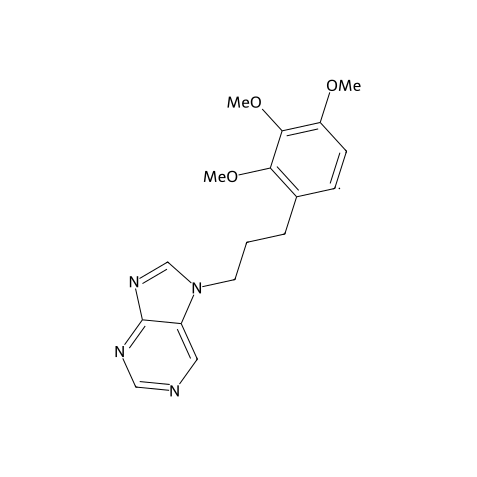 COc1c[c]c(CCCn2cnc3ncncc32)c(OC)c1OC